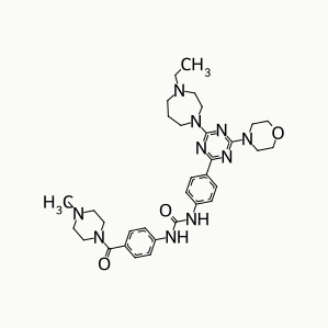 CCN1CCCN(c2nc(-c3ccc(NC(=O)Nc4ccc(C(=O)N5CCN(C)CC5)cc4)cc3)nc(N3CCOCC3)n2)CC1